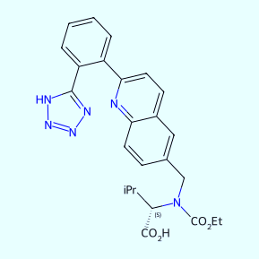 CCOC(=O)N(Cc1ccc2nc(-c3ccccc3-c3nnn[nH]3)ccc2c1)[C@H](C(=O)O)C(C)C